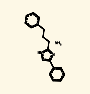 N.c1ccc(CCCc2nc(-c3ccccc3)c[nH]2)cc1